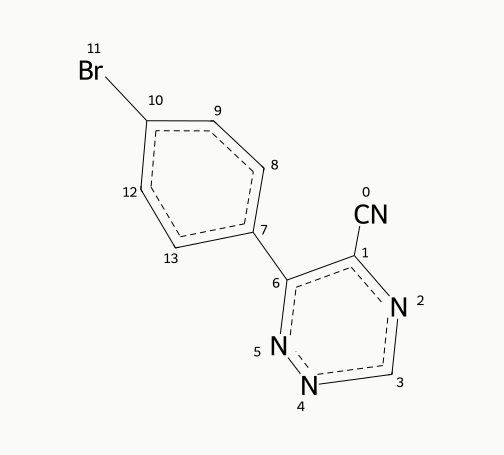 N#Cc1ncnnc1-c1ccc(Br)cc1